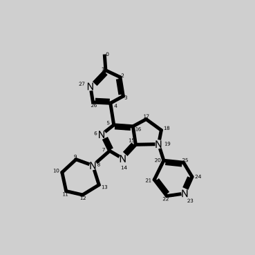 Cc1ccc(-c2nc(N3CCCCC3)nc3c2CCN3c2ccncc2)cn1